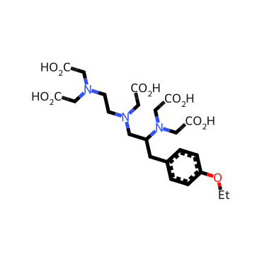 CCOc1ccc(CC(CN(CCN(CC(=O)O)CC(=O)O)CC(=O)O)N(CC(=O)O)CC(=O)O)cc1